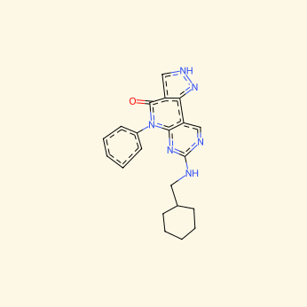 O=c1c2c[nH]nc2c2cnc(NCC3CCCCC3)nc2n1-c1ccccc1